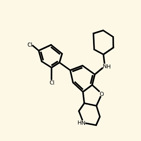 Clc1ccc(-c2cc(NC3CCCCC3)c3c(c2)C2CNCCC2O3)c(Cl)c1